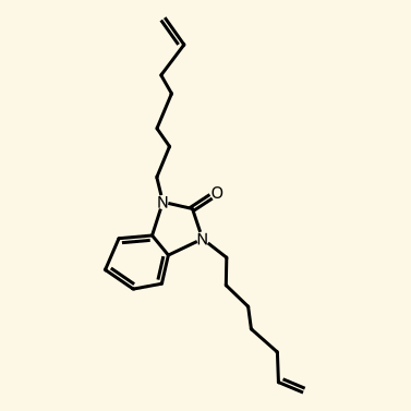 C=CCCCCCn1c(=O)n(CCCCCC=C)c2ccccc21